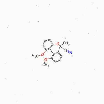 COc1cccc2c1-c1c(OC)cccc1C(C)(C#N)O2